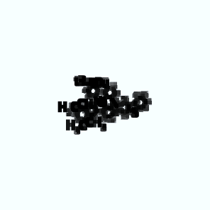 CC(C)(C)c1ccc(N2B3c4cc(C(C)(C)C)ccc4-n4c5cc6c(cc5c5ccc(c3c54)-c3cc4c(cc32)C(C)(C)CCC4(C)C)sc2ccccc26)cc1